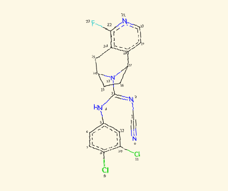 N#CN=C(Nc1ccc(Cl)c(Cl)c1)N1C2CCC1c1ccnc(F)c1C2